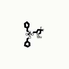 CC(C)(C)N1CC(F)(F)CC1COP(=O)(OCc1ccccc1)OCc1ccccc1